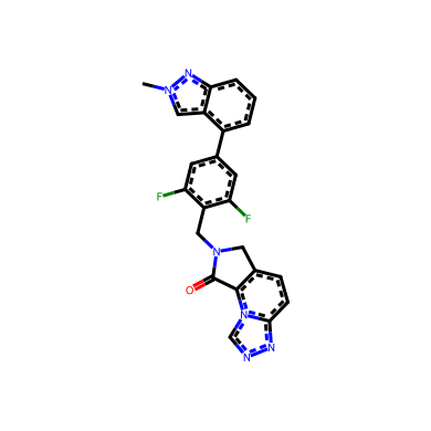 Cn1cc2c(-c3cc(F)c(CN4Cc5ccc6nncn6c5C4=O)c(F)c3)cccc2n1